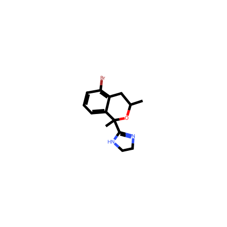 CC1Cc2c(Br)cccc2C(C)(C2=NCCN2)O1